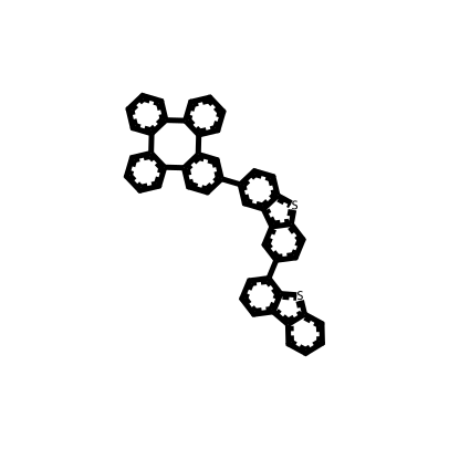 c1ccc2c(c1)-c1ccccc1-c1ccc(-c3ccc4sc5ccc(-c6cccc7c6sc6ccccc67)cc5c4c3)cc1-c1ccccc1-2